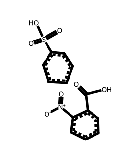 O=C(O)c1ccccc1[N+](=O)[O-].O=S(=O)(O)c1ccccc1